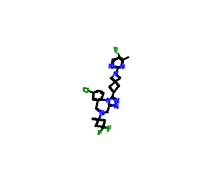 Cc1nc(N2CC3(CC(c4nnc5n4-c4ccc(Cl)cc4CN(C4(C)CC(F)(F)C4)C5)C3)C2)ncc1F